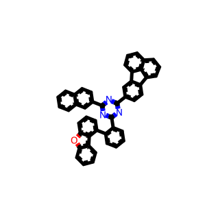 c1ccc(-c2cccc3oc4ccccc4c23)c(-c2nc(-c3ccc4c(c3)-c3cccc5cccc-4c35)nc(-c3ccc4ccccc4c3)n2)c1